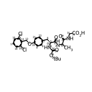 C[C@@H](NC(=O)[C@H](Cc1ccc(OCc2c(Cl)cccc2Cl)cc1)NC(=O)OC(C)(C)C)C(=O)NCC(=O)O